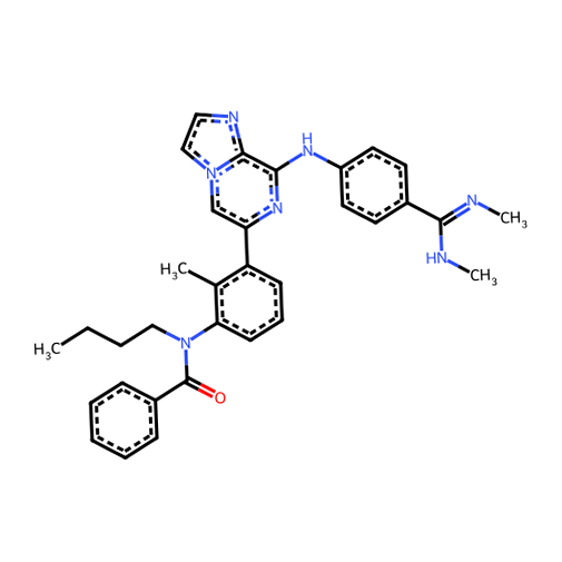 CCCCN(C(=O)c1ccccc1)c1cccc(-c2cn3ccnc3c(Nc3ccc(C(=NC)NC)cc3)n2)c1C